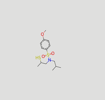 COc1ccc(S(=O)(=O)N(CC(C)C)CC(C)S)cc1